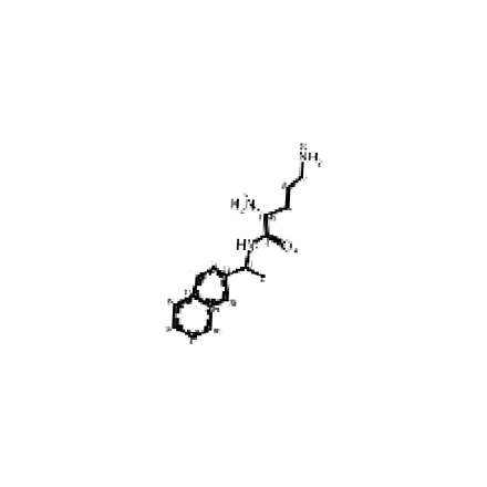 CC(NC(=O)[C@H](N)CCCN)c1ccc2ccccc2c1